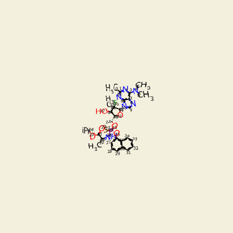 Cc1nc(N(C)C)c2ncn([C@@H]3O[C@H](COP(=S)(N[C@H](C)C(=O)OC(C)C)Oc4cccc5ccccc45)[C@@H](O)[C@@]3(C)F)c2n1